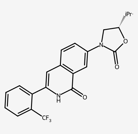 C[C](C)[C@H]1CN(c2ccc3cc(-c4ccccc4C(F)(F)F)[nH]c(=O)c3c2)C(=O)O1